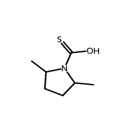 CC1CCC(C)N1C(O)=S